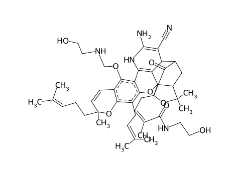 CC(C)=CCCC1(C)C=Cc2c(c(CC=C(C)C)c3c(c2OCNCCO)C2=C4C(C(C#N)=C(N)N2)C2CC5C(C)(C)OC(C/C=C(/C)C(=O)NCCO)(C2=O)C45O3)O1